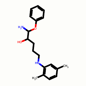 Cc1ccc(C)c(NCCCC(O)C(N)Oc2ccccc2)c1